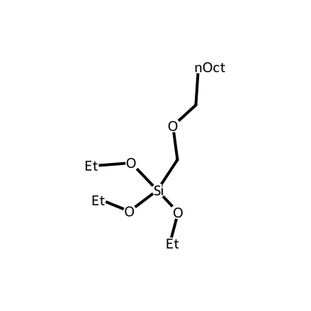 CCCCCCCCCOC[Si](OCC)(OCC)OCC